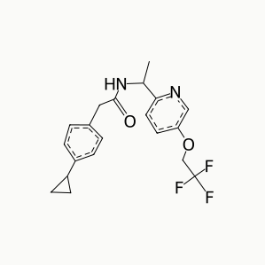 CC(NC(=O)Cc1ccc(C2CC2)cc1)c1ccc(OCC(F)(F)F)cn1